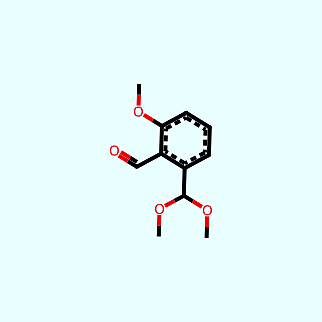 COc1cccc(C(OC)OC)c1C=O